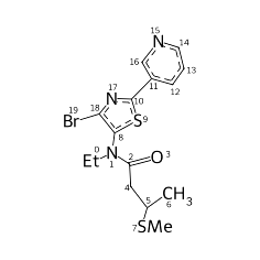 CCN(C(=O)CC(C)SC)c1sc(-c2cccnc2)nc1Br